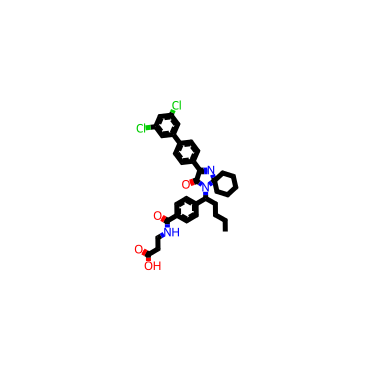 CCCCC(c1ccc(C(=O)NCCC(=O)O)cc1)N1C(=O)C(c2ccc(-c3cc(Cl)cc(Cl)c3)cc2)=NC12CCCCC2